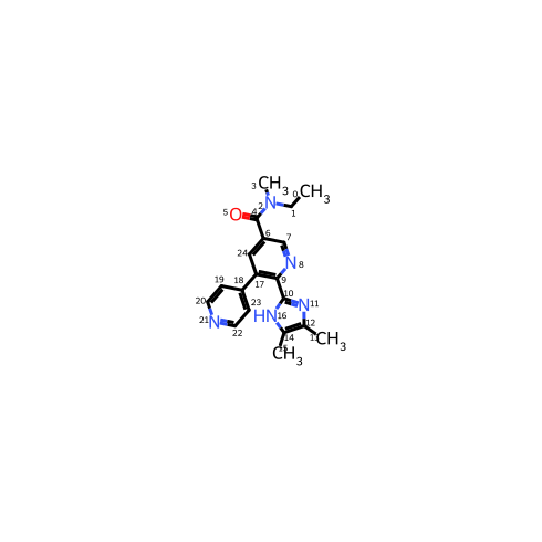 CCN(C)C(=O)c1cnc(-c2nc(C)c(C)[nH]2)c(-c2ccncc2)c1